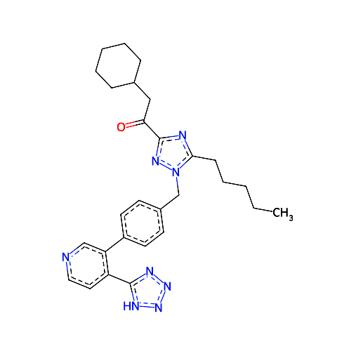 CCCCCc1nc(C(=O)CC2CCCCC2)nn1Cc1ccc(-c2cnccc2-c2nnn[nH]2)cc1